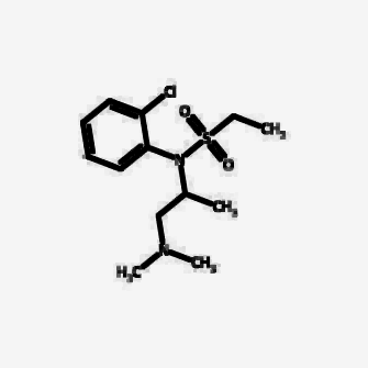 CCS(=O)(=O)N(c1c[c]ccc1Cl)C(C)CN(C)C